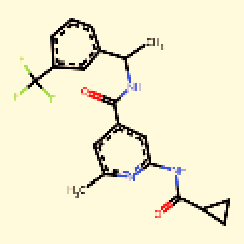 Cc1cc(C(=O)NC(C)c2cccc(C(F)(F)F)c2)cc(NC(=O)C2CC2)n1